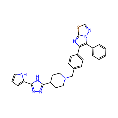 c1ccc(-c2c(-c3ccc(CN4CCC(c5nnc(-c6ccc[nH]6)[nH]5)CC4)cc3)nc3scnn23)cc1